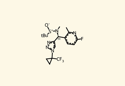 Cc1nc(F)ccc1[C@@H](c1cn(C2(C(F)(F)F)CC2)nn1)N(C)[S+]([O-])C(C)(C)C